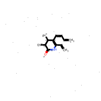 C=C/C=C\C1=C(C=C)NC(=O)C(CC)C1C(C)C